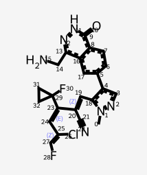 Cn1ncc(-c2ccc3c(=O)[nH]nc(CN)c3c2)c1/C=C(C#N)/C(=C\C(Cl)=C\F)C1(F)CC1